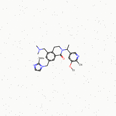 CCOc1cc(C(C)N2CCc3c(CN(C)C)cc(Cn4ccnc4NC)cc3C2=O)cnc1C#N